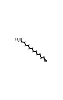 NCCCCCCCCCCCCBr